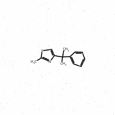 Cc1nc(C(C)(C)c2ccccc2)cs1